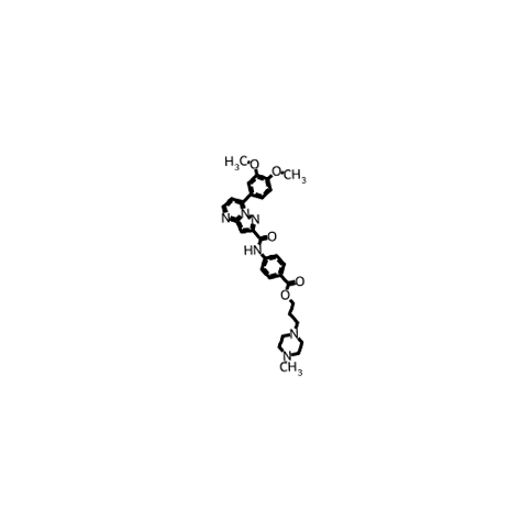 COc1ccc(-c2ccnc3cc(C(=O)Nc4ccc(C(=O)OCCCN5CCN(C)CC5)cc4)nn23)cc1OC